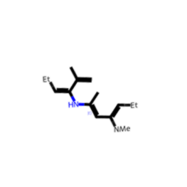 C=C(C)C(=CCC)N/C(C)=C/C(=CCC)NC